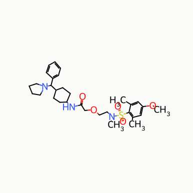 COc1cc(C)c(S(=O)(=O)N(C)CCOCC(=O)NC2CCC(C(c3ccccc3)N3CCCC3)CC2)c(C)c1